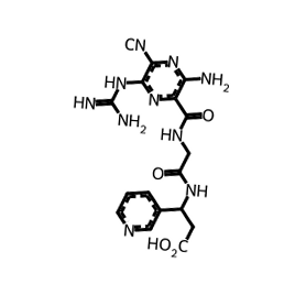 [C-]#[N+]c1nc(N)c(C(=O)NCC(=O)NC(CC(=O)O)c2cccnc2)nc1NC(=N)N